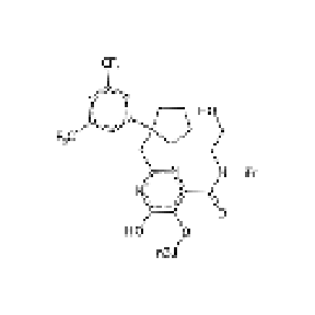 CCCCOc1c(O)nc(CC2(c3cc(C(F)(F)F)cc(C(F)(F)F)c3)CCCC2)nc1C(=O)N(CCO)C(C)C